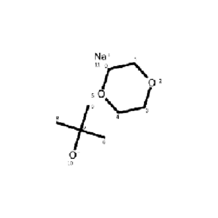 C1COCCO1.CC(C)(C)[O-].[Na+]